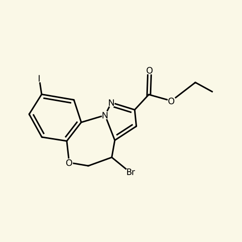 CCOC(=O)c1cc2n(n1)-c1cc(I)ccc1OCC2Br